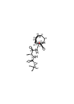 C[C@H](NC(=O)OC(C)(C)C)C(=O)NC1C(=O)N2CCC3=C1C=CC(C3)C2